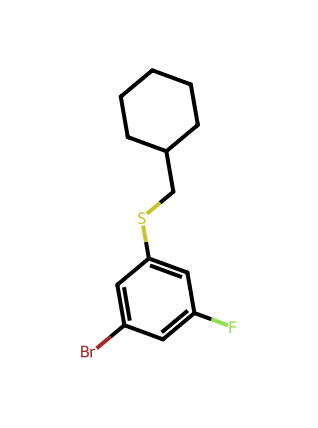 Fc1cc(Br)cc(SCC2CCCCC2)c1